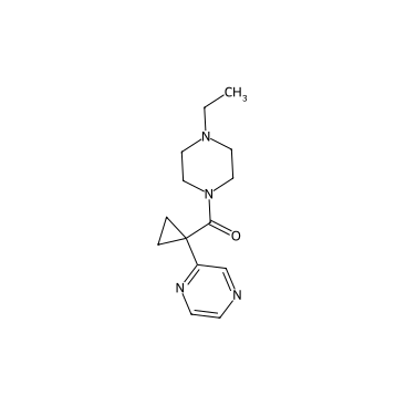 CCN1CCN(C(=O)C2(c3cnccn3)CC2)CC1